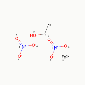 CCO.O=[N+]([O-])[O-].O=[N+]([O-])[O-].[Fe+2]